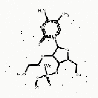 CCC(C)CC1OC(n2cc(C)c(N)nc2=O)C(OCCOC)C1OP(=O)(OC(C)C)SC